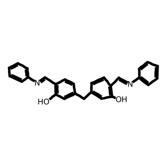 Oc1cc(Cc2ccc(/C=N/c3ccccc3)c(O)c2)ccc1/C=N/c1ccccc1